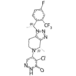 C[C@H](c1ccc(F)cc1C(F)(F)F)n1nnc2c1CCN(c1cn[nH]c(=O)c1Cl)[C@H]2C